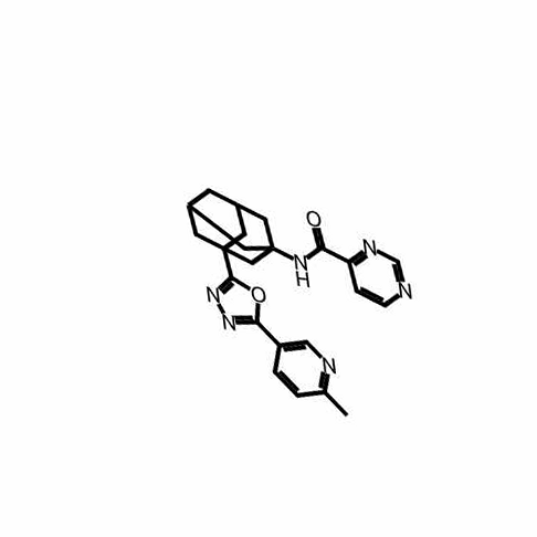 Cc1ccc(-c2nnc(C34CC5CC(CC(NC(=O)c6ccncn6)(C5)C3)C4)o2)cn1